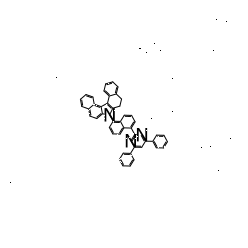 c1ccc(-c2cc(-c3ccccc3)nc(-c3cccc4c(-n5c6c(c7c8ccccc8ccc75)-c5ccccc5CC6)cccc34)n2)cc1